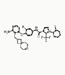 Nc1nccc(Oc2ccc(NC(=O)c3cnn(-c4ncccc4F)c3C(F)(F)F)cc2F)c1CN1CC2(CCOCC2)C1